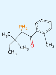 CCC(C)(C)C(P)C(=O)c1ccccc1C